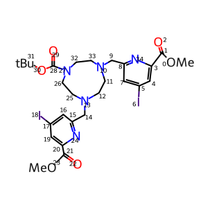 COC(=O)c1cc(I)cc(CN2CCN(Cc3cc(I)cc(C(=O)OC)n3)CCN(C(=O)OC(C)(C)C)CC2)n1